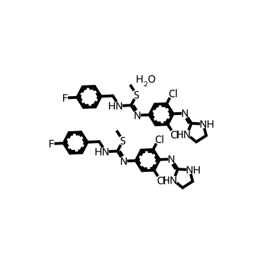 CSC(=Nc1cc(Cl)c(N=C2NCCN2)c(Cl)c1)NCc1ccc(F)cc1.CSC(=Nc1cc(Cl)c(N=C2NCCN2)c(Cl)c1)NCc1ccc(F)cc1.O